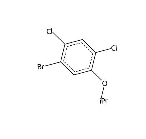 CC(C)Oc1cc(Br)c(Cl)cc1Cl